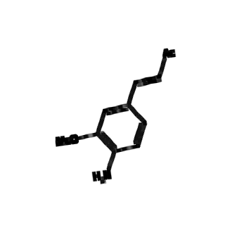 COc1cc(C=CC(C)=O)ccc1N